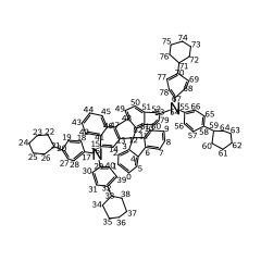 c1ccc2c(c1)-c1ccccc1C21c2cc(N(c3ccc(C4CCCCC4)cc3)c3ccc(C4CCCCC4)cc3)c3ccccc3c2-c2ccc3cc(N(c4ccc(C5CCCCC5)cc4)c4ccc(C5CCCCC5)cc4)ccc3c21